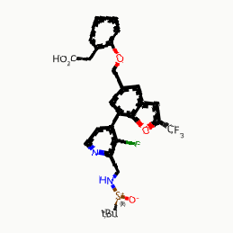 CC(C)(C)[S@+]([O-])NCc1nccc(-c2cc(COc3ccccc3CC(=O)O)cc3cc(C(F)(F)F)oc23)c1F